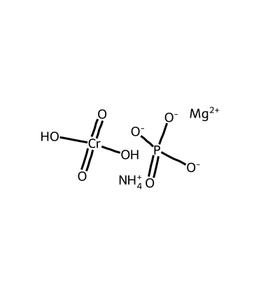 O=P([O-])([O-])[O-].[Mg+2].[NH4+].[O]=[Cr](=[O])([OH])[OH]